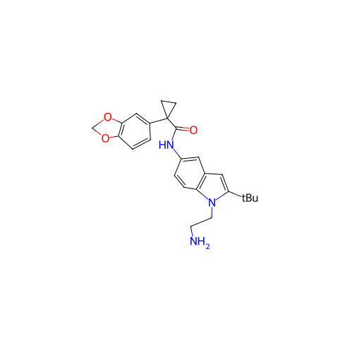 CC(C)(C)c1cc2cc(NC(=O)C3(c4ccc5c(c4)OCO5)CC3)ccc2n1CCN